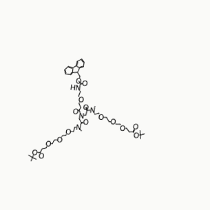 CN(CCOCCOCCOCCC(=O)OC(C)(C)C)C(=O)CN(CC(=O)N(C)CCOCCOCCOCCC(=O)OC(C)(C)C)C(=O)CCOCCNC(=O)OCC1c2ccccc2-c2ccccc21